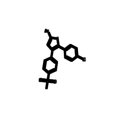 CC(=O)c1cc(-c2ccc(S(C)(=O)=O)cc2)c(-c2ccc(Cl)cc2)s1